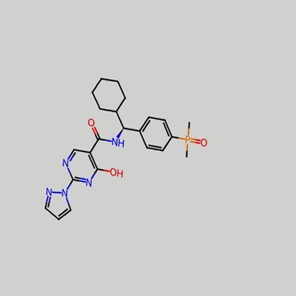 CP(C)(=O)c1ccc([C@@H](NC(=O)c2cnc(-n3cccn3)nc2O)C2CCCCC2)cc1